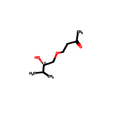 CC(=O)CCOC[C@@H](O)C(C)C